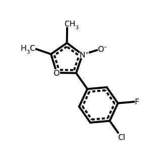 Cc1oc(-c2ccc(Cl)c(F)c2)[n+]([O-])c1C